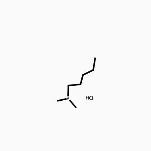 CCCCCP(C)C.Cl